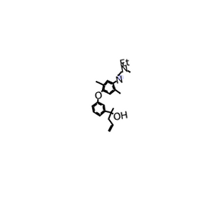 C=CCC(C)(O)c1cccc(Oc2cc(C)c(/N=C/N(C)CC)cc2C)c1